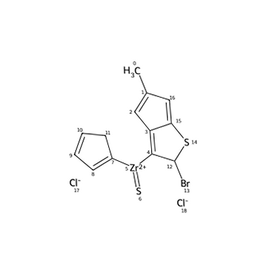 CC1=CC2=[C]([Zr+2](=[S])[C]3=CC=CC3)C(Br)SC2=C1.[Cl-].[Cl-]